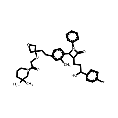 Cc1cc(CCC2(OCC(=O)N3CCCC(C)(C)C3)COC2)ccc1C1C(CCC(O)c2ccc(F)cc2)C(=O)N1c1ccccc1